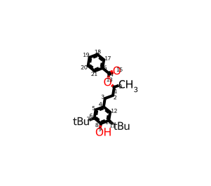 CC(CCc1cc(C(C)(C)C)c(O)c(C(C)(C)C)c1)OC(=O)c1ccccc1